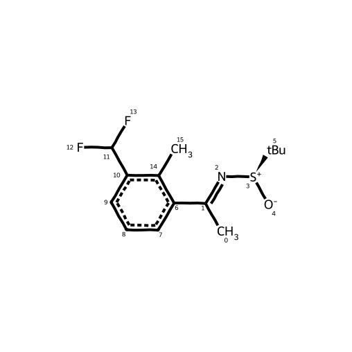 CC(=N[S@+]([O-])C(C)(C)C)c1cccc(C(F)F)c1C